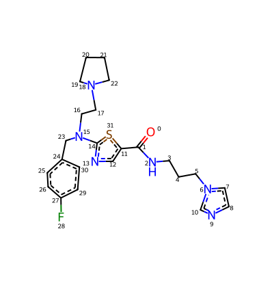 O=C(NCCCn1ccnc1)c1cnc(N(CCN2CCCC2)Cc2ccc(F)cc2)s1